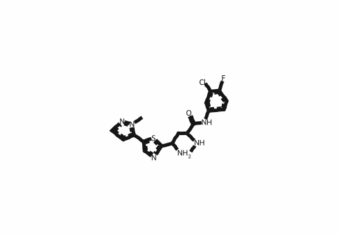 CNC(CC(N)c1ncc(-c2ccnn2C)s1)C(=O)Nc1ccc(F)c(Cl)c1